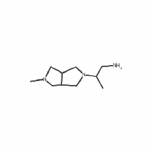 CC(CN)N1CC2CN(C)CC2C1